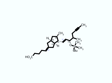 CC#CCC(C)[C@@H](/C=C/[C@@H]1[C@H]2C/C(=C/CCCC(=O)O)C[C@H]2C[C@H]1C)O[Si](C)(C)C(C)(C)C